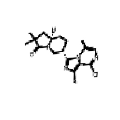 Cc1cnc(Cl)c2c(Br)nc([C@H]3CC[C@@H]4CC(C)(C)C(=O)N4C3)n12